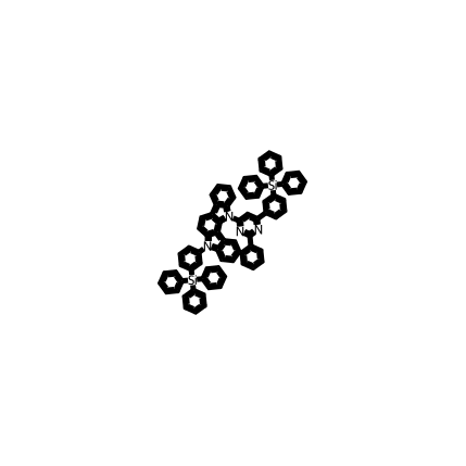 c1ccc(-c2nc(-c3cccc([Si](c4ccccc4)(c4ccccc4)c4ccccc4)c3)cc(-n3c4ccccc4c4ccc5c(c6ccccc6n5-c5cccc([Si](c6ccccc6)(c6ccccc6)c6ccccc6)c5)c43)n2)cc1